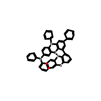 c1ccc(-c2cc3c4c(c2)N(c2ccccc2)c2ccc(N(c5ccccc5)c5ccccc5)cc2B4N2c4ccccc4Sc4cccc-3c42)cc1